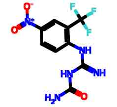 N=C(NC(N)=O)Nc1ccc([N+](=O)[O-])cc1C(F)(F)F